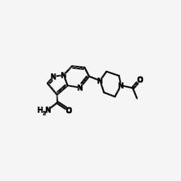 CC(=O)N1CCN(c2ccn3ncc(C(N)=O)c3n2)CC1